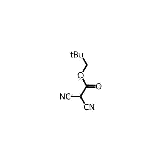 CC(C)(C)COC(=O)C(C#N)C#N